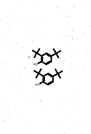 CC(C)(C)c1ccc(O)c(C(C)(C)C)c1.CC(C)(C)c1ccc(O)c(C(C)(C)C)c1.[Y]